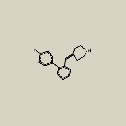 Fc1ccc(-c2ccccc2C=C2CCNCC2)cc1